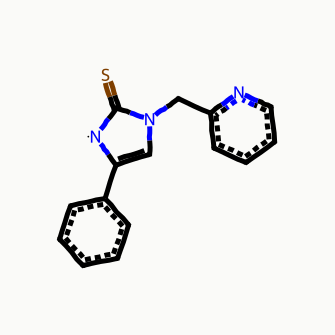 S=C1[N]C(c2ccccc2)=CN1Cc1ccccn1